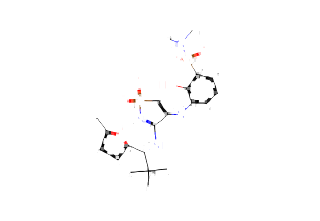 Cc1ccc([C@H](NC2=NS(=O)(=O)C=C2Nc2cccc(S(=O)(=O)N(C)C)c2O)C(C)(C)C)o1